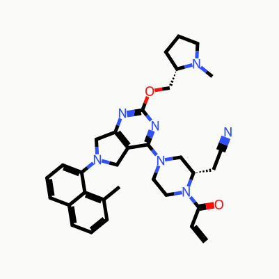 C=CC(=O)N1CCN(c2nc(OC[C@@H]3CCCN3C)nc3c2CN(c2cccc4cccc(C)c24)C3)C[C@@H]1CC#N